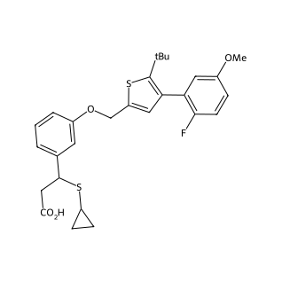 COc1ccc(F)c(-c2cc(COc3cccc(C(CC(=O)O)SC4CC4)c3)sc2C(C)(C)C)c1